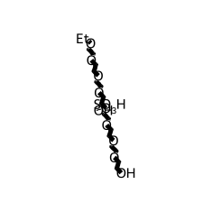 CCOCCOCCOCCOCCOCCOCCOCCOCCO.O=S(=O)(O)O